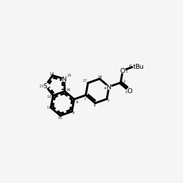 CC(C)(C)OC(=O)N1CC=C(c2cccc3scnc23)CC1